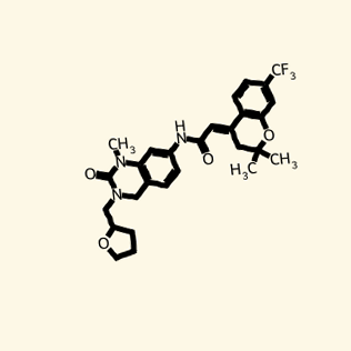 CN1C(=O)N(CC2CCCO2)Cc2ccc(NC(=O)/C=C3\CC(C)(C)Oc4cc(C(F)(F)F)ccc43)cc21